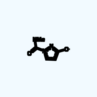 CNC(=O)n1ccc([O])n1